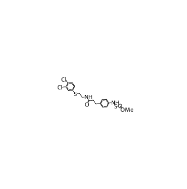 COOSNc1ccc(CCC(=O)NCCSc2ccc(Cl)c(Cl)c2)cc1